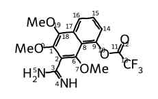 COc1c(C(=N)N)c(OC)c2c(OC(=O)C(F)(F)F)cccc2c1OC